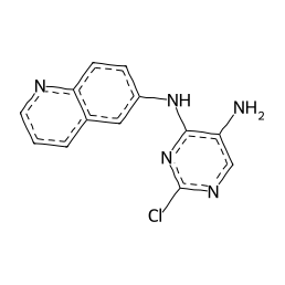 Nc1cnc(Cl)nc1Nc1ccc2ncccc2c1